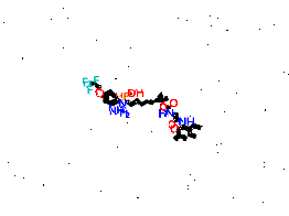 CCC(CC)[C@H](NC(=O)CNC(=O)OC1(C)C[C@H]1CCCCCC(Nc1ccc(OCC(F)(F)F)cc1N)PO)C(=O)C(C)C